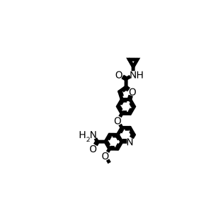 COc1cc2nccc(Oc3ccc4oc(C(=O)NC5CC5)cc4c3)c2cc1C(N)=O